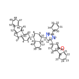 CC1(C)c2ccc(-c3ccc(-c4cc(-c5ccc6c(c5)oc5ccccc56)nc(-c5ccccc5)n4)c4ccccc34)cc2-c2cc3ccccc3cc21